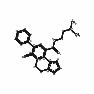 CN(C)CCOC(=O)c1cc(-c2ccccc2)c(=O)n2c1-c1sccc1CC2